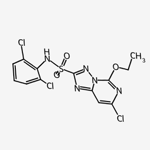 CCOc1nc(Cl)cc2nc(S(=O)(=O)Nc3c(Cl)cccc3Cl)nn12